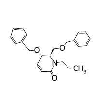 CCCN1C(=O)C=C[C@H](OCc2ccccc2)[C@H]1COCc1ccccc1